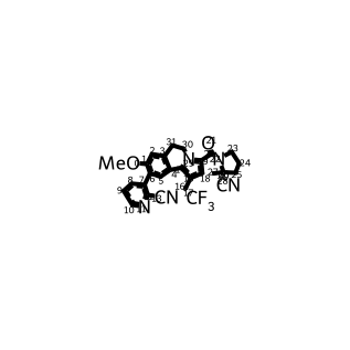 COc1cc2c(cc1-c1cccnc1C#N)-c1c(CC(F)(F)F)cc(C(=O)N3CCC[C@]3(C)C#N)n1CC2